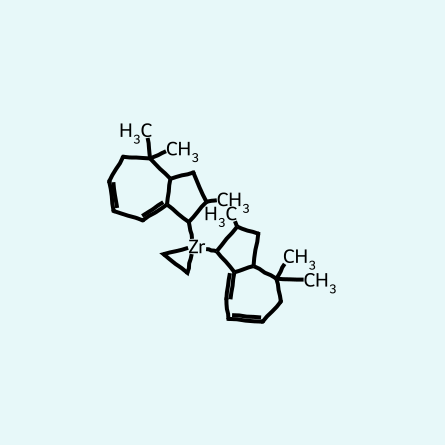 CC1CC2C(=CC=CCC2(C)C)[CH]1[Zr]1([CH]2C3=CC=CCC(C)(C)C3CC2C)[CH2][CH2]1